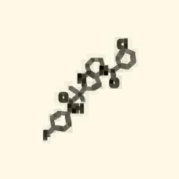 CC(C)(C(=O)Nc1ccc(F)cc1)c1ccc2c(n1)CCCN2C(=O)c1cccc(Cl)c1